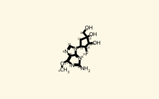 COc1nc(N)nc2c1ncn2C1CC(O)(CO)C(O)C1F